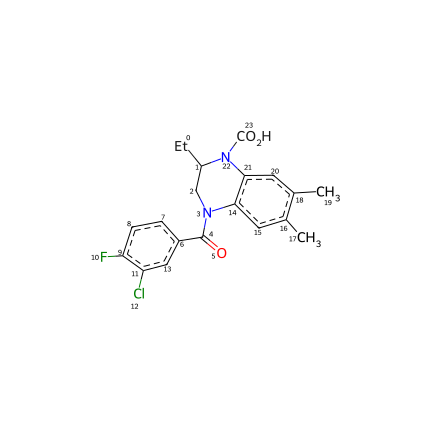 CCC1CN(C(=O)c2ccc(F)c(Cl)c2)c2cc(C)c(C)cc2N1C(=O)O